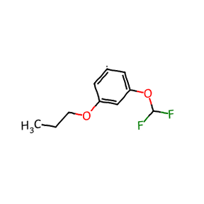 CCCOc1c[c]cc(OC(F)F)c1